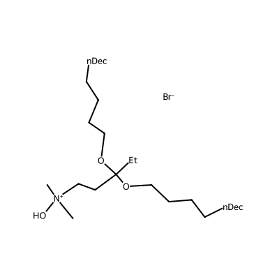 CCCCCCCCCCCCCCOC(CC)(CC[N+](C)(C)O)OCCCCCCCCCCCCCC.[Br-]